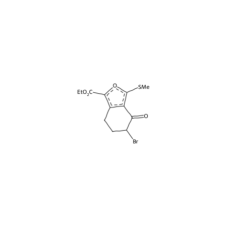 CCOC(=O)c1oc(SC)c2c1CCC(Br)C2=O